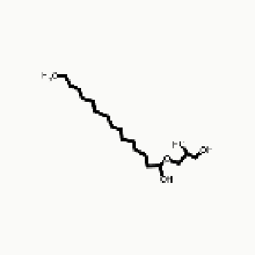 CCCCCCCCCCCCCCCC(O)OCC(O)CO